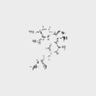 COc1ccc(C2=CNN/C2=C2/C=CC(OCC(=O)NN)=CC2=O)cc1OC